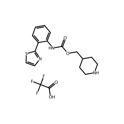 O=C(Nc1ccccc1-c1nccs1)OCC1CCNCC1.O=C(O)C(F)(F)F